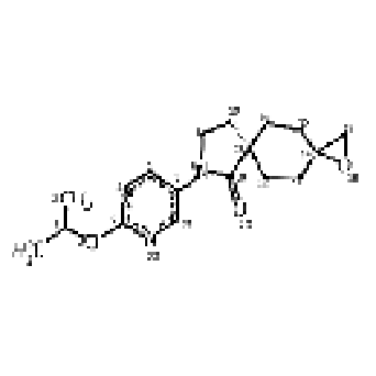 CC(C)Oc1ccc(N2CC[C@]3(CC[C@@]4(CC3)CO4)C2=O)cn1